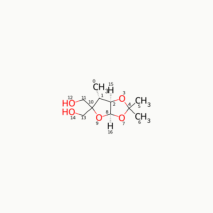 C[C@@H]1[C@H]2OC(C)(C)O[C@H]2OC1(CO)CO